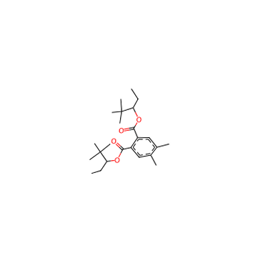 CCC(OC(=O)c1cc(C)c(C)cc1C(=O)OC(CC)C(C)(C)C)C(C)(C)C